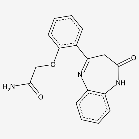 NC(=O)COc1ccccc1C1=Nc2ccccc2NC(=O)C1